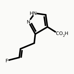 O=C(O)c1c[nH]nc1CC=CF